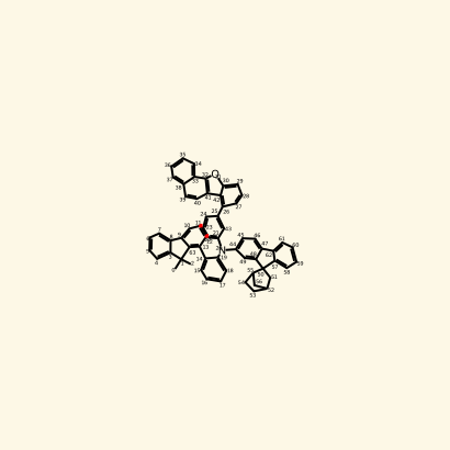 CC1(C)c2ccccc2-c2cccc(-c3ccccc3N(c3cccc(-c4cccc5oc6c7ccccc7ccc6c45)c3)c3ccc4c(c3)C3(CC5CCC3C5)c3ccccc3-4)c21